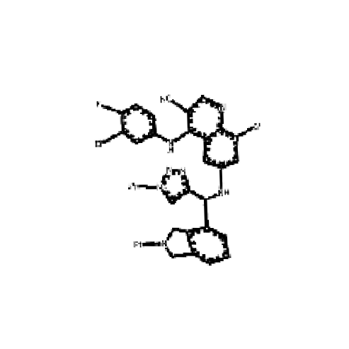 CCN1Cc2cccc([C@H](Nc3cc(Cl)c4ncc(C#N)c(Nc5ccc(F)c(Cl)c5)c4c3)c3cn(C(C)C)nn3)c2C1